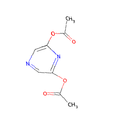 CC(=O)Oc1cncc(OC(C)=O)n1